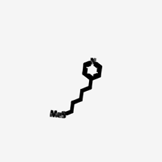 CSCCCCCc1ccncc1